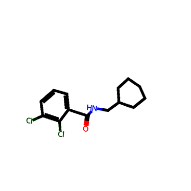 O=C(NCC1CCCCC1)c1cccc(Cl)c1Cl